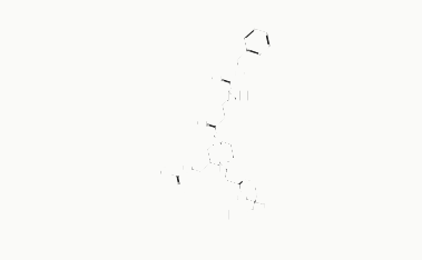 CC(=O)OCC1CN(C(=O)CCNC(=O)OCc2ccccc2)CCN1CC(=O)OC(C)(C)C